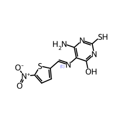 Nc1nc(S)nc(O)c1/N=C/c1ccc([N+](=O)[O-])s1